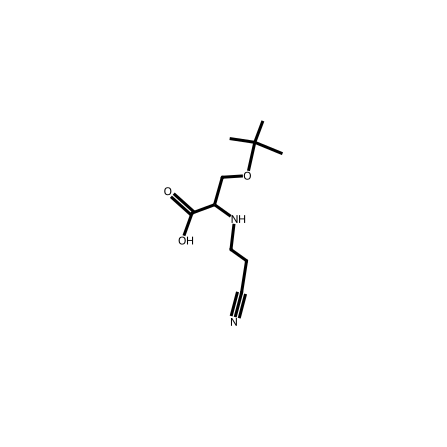 CC(C)(C)OCC(NCCC#N)C(=O)O